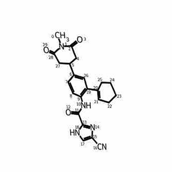 CN1C(=O)CC(c2ccc(NC(=O)c3nc(C#N)c[nH]3)c(C3=CCCCC3)c2)CC1=O